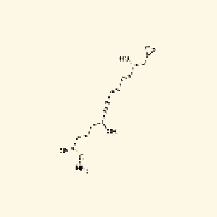 NOC(=O)CCC[C@H](O)C#C/C=C/C=C/[C@H](O)CC1CC1